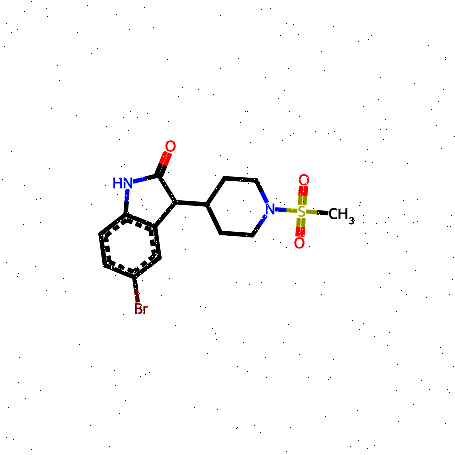 CS(=O)(=O)N1CCC(C2C(=O)Nc3ccc(Br)cc32)CC1